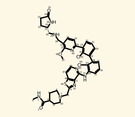 CNC(=O)C1CCN(Cc2nc3c(Nc4cccc(-c5cccc(-c6ccc(CNC[C@@H]7CCC(=O)N7)c(OC)n6)c5Cl)c4Cl)nccc3s2)CC1